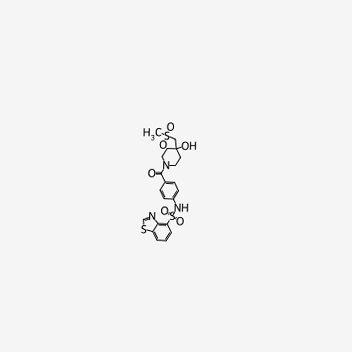 CS(=O)(=O)CC1(O)CCN(C(=O)c2ccc(NS(=O)(=O)c3cccc4scnc34)cc2)CC1